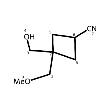 COCC1(CO)CC(C#N)C1